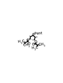 [CH2]CCCC[C](CCOC(=O)C(=C)C)CCOC(=O)C(=C)C